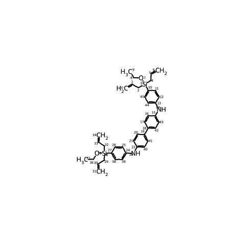 C=CC[Si](CC=C)(OCC)c1ccc(Nc2ccc(-c3ccc(Nc4ccc([Si](CC=C)(CC=C)OCC)cc4)cc3)cc2)cc1